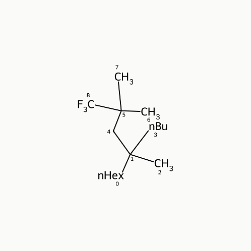 CCCCCCC(C)(CCCC)CC(C)(C)C(F)(F)F